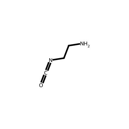 NCCN=C=O